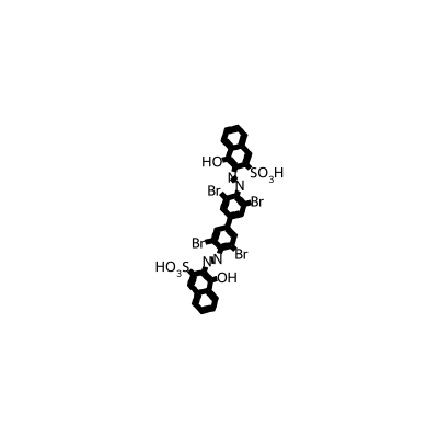 O=S(=O)(O)c1cc2ccccc2c(O)c1/N=N/c1c(Br)cc(-c2cc(Br)c(/N=N/c3c(S(=O)(=O)O)cc4ccccc4c3O)c(Br)c2)cc1Br